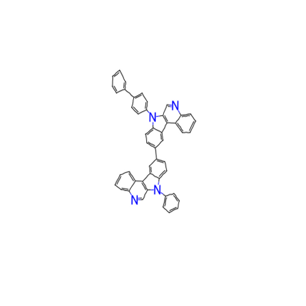 c1ccc(-c2ccc(-n3c4ccc(-c5ccc6c(c5)c5c7ccccc7ncc5n6-c5ccccc5)cc4c4c5ccccc5ncc43)cc2)cc1